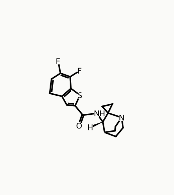 O=C(N[C@H]1C2CCN(CC2)C12CC2)c1cc2ccc(F)c(F)c2s1